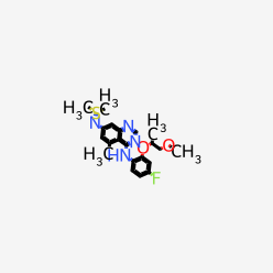 COCC(C)Oc1cc(F)ccc1Nc1ncnc2cc(N=S(C)C)cc(C)c12